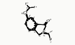 O=C1c2cc(OC(F)F)ccc2CN1CBr